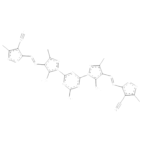 [C-]#[N+]c1c(C)nsc1N=Nc1c(C)nn(-c2nc(O)nc(-n3nc(C)c(N=Nc4snc(C)c4C#N)c3N)n2)c1N